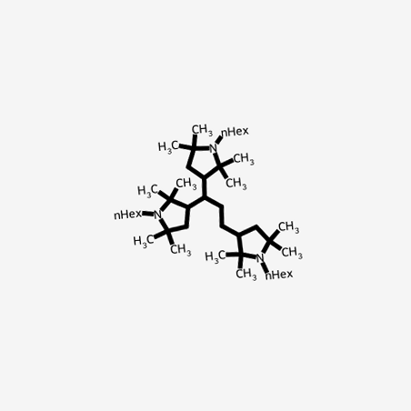 CCCCCCN1C(C)(C)CC(CCC(C2CC(C)(C)N(CCCCCC)C2(C)C)C2CC(C)(C)N(CCCCCC)C2(C)C)C1(C)C